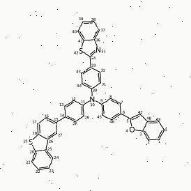 c1ccc2oc(-c3ccc(N(c4ccc(-c5ccc6sc7ccccc7c6c5)cc4)c4ccc(-c5nc6ccccc6s5)cc4)cc3)cc2c1